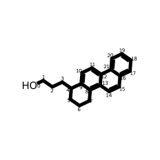 OCCCC1CCCc2c1ccc1c2ccc2ccccc21